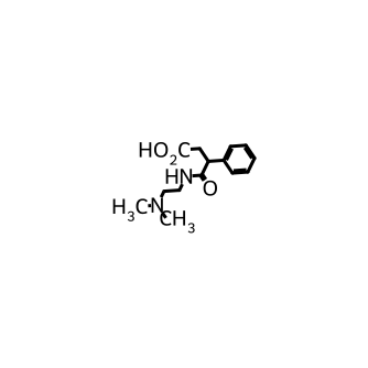 CN(C)CCNC(=O)C(CC(=O)O)c1ccccc1